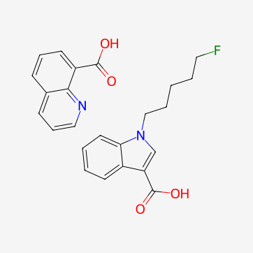 O=C(O)c1cccc2cccnc12.O=C(O)c1cn(CCCCCF)c2ccccc12